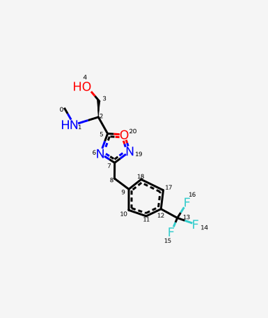 CN[C@@H](CO)c1nc(Cc2ccc(C(F)(F)F)cc2)no1